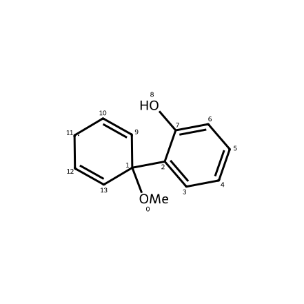 COC1(c2ccccc2O)C=C[CH]C=C1